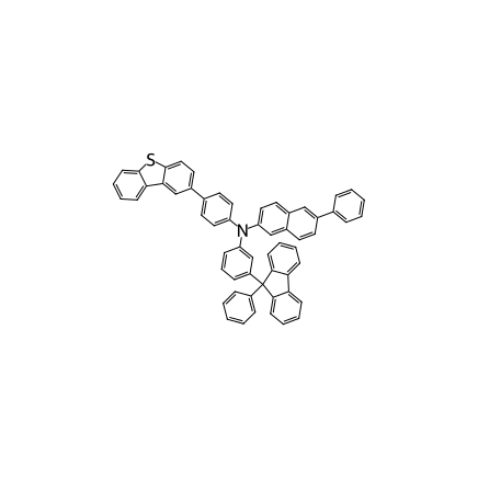 c1ccc(-c2ccc3cc(N(c4ccc(-c5ccc6sc7ccccc7c6c5)cc4)c4cccc(C5(c6ccccc6)c6ccccc6-c6ccccc65)c4)ccc3c2)cc1